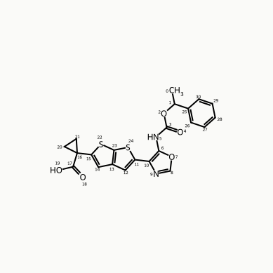 CC(OC(=O)Nc1ocnc1-c1cc2cc(C3(C(=O)O)CC3)sc2s1)c1ccccc1